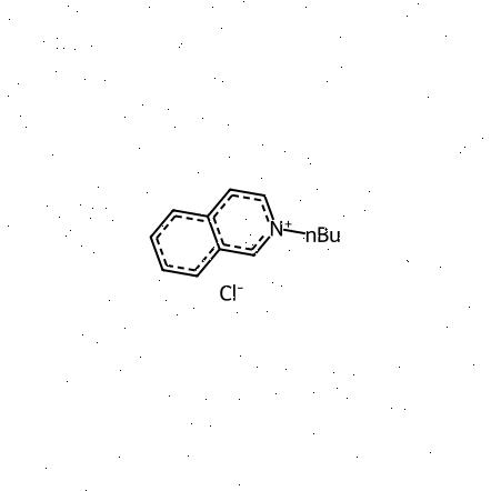 CCCC[n+]1ccc2ccccc2c1.[Cl-]